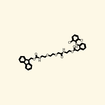 O=C(COCCOCCNC(=O)OCC1c2ccccc2-c2ccccc21)NCCOC(=O)Cc1ccccc1Nc1c(Cl)cccc1Cl